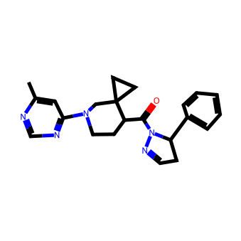 Cc1cc(N2CCC(C(=O)N3N=CCC3c3ccccc3)C3(CC3)C2)ncn1